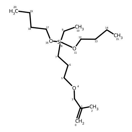 C=C(C)COCCC[Si](CC)(OCCCC)OCCCC